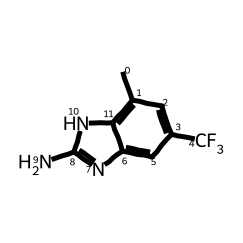 Cc1cc(C(F)(F)F)cc2nc(N)[nH]c12